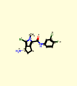 Cn1c(Br)c2c(c1C(=O)Nc1ccc(F)c(Cl)c1)CC[C@@H]2N